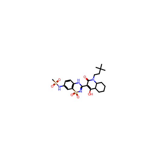 CC(C)(C)CCN1C(=O)C(C2=NS(=O)(=O)c3cc(NS(C)(=O)=O)ccc3N2)=C(O)C2CCCCC21